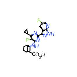 O=C(O)C1C2CCC(CC2)C1Nc1nc(-c2n[nH]c3ncc(F)cc23)nc(C2CC2)c1F